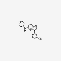 N#Cc1cccc(-c2cnc3ccc(NC4CCOCC4)nn23)c1